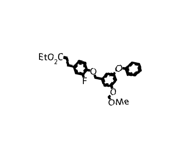 CCOC(=O)CCc1ccc(OCc2cc(OCOC)cc(Oc3ccccc3)c2)c(F)c1